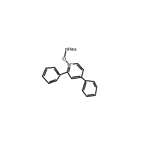 CCCCCCO[n+]1ccc(-c2ccccc2)cc1-c1ccccc1